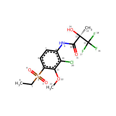 CCS(=O)(=O)c1ccc(NC(=O)[C@@](C)(O)C(F)(F)F)c(Cl)c1OC